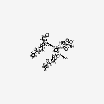 CC#CCOC(C[n+]1ccn(CC(=O)c2cccs2)c1)c1ccc(Cl)s1.CC#CCOC(C[n+]1ccn(CC(=O)c2cccs2)c1)c1ccc(Cl)s1.O=C([O-])C(O)C(O)C(=O)[O-]